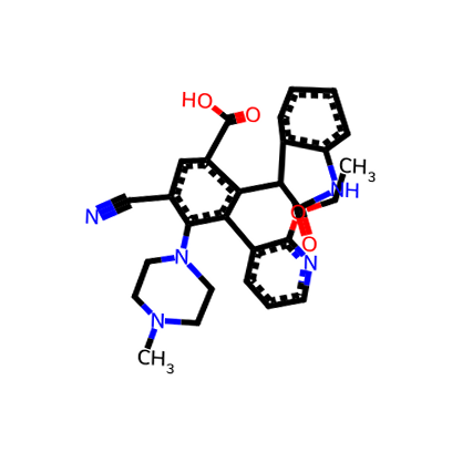 CCOc1ncccc1-c1c(C2C(=O)Nc3ccccc32)c(C(=O)O)cc(C#N)c1N1CCN(C)CC1